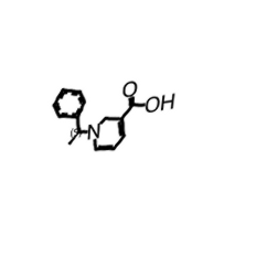 C[C@@H](c1ccccc1)N1C=CC=C(C(=O)O)C1